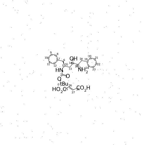 CC(C)(C)OC(=O)N[C@@H](Cc1ccccc1)C[C@H](O)[C@@H](N)Cc1ccccc1.O=C(O)C=CC(=O)O